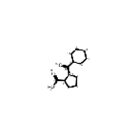 O=C(O)C1CCCN1C(=O)C1CCCCC1